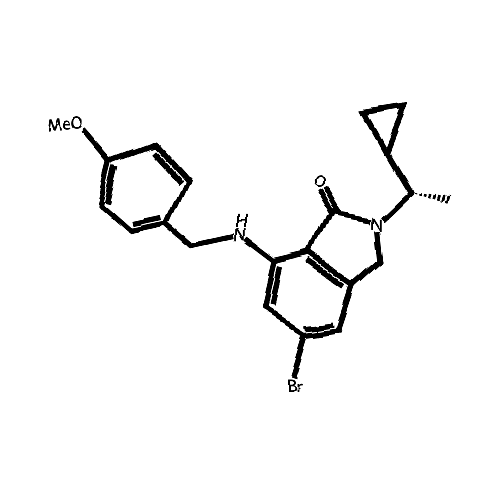 COc1ccc(CNc2cc(Br)cc3c2C(=O)N([C@@H](C)C2CC2)C3)cc1